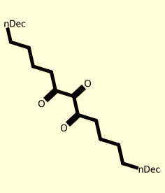 CCCCCCCCCCCCCCC(=O)C(=O)C(=O)CCCCCCCCCCCCCC